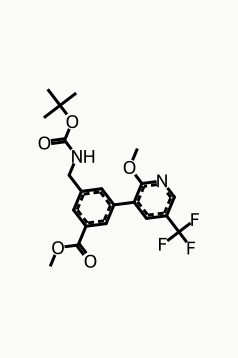 COC(=O)c1cc(CNC(=O)OC(C)(C)C)cc(-c2cc(C(F)(F)F)cnc2OC)c1